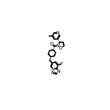 Cc1cncc([C@@H]2CCON2C(=O)[C@H]2CC[C@H](Cc3cc(F)c4ncnn4c3)CC2)c1